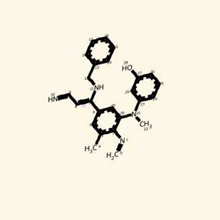 C=Nc1c(C)cc(/C(=C/C=N)NCc2ccccc2)cc1N(C)c1cccc(O)c1